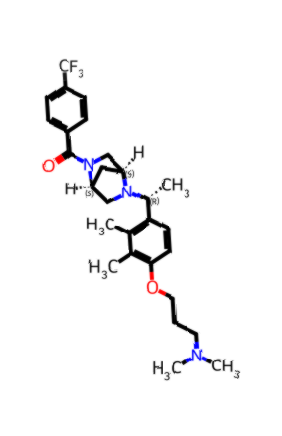 Cc1c(OCCCN(C)C)ccc([C@@H](C)N2C[C@@H]3C[C@H]2CN3C(=O)c2ccc(C(F)(F)F)cc2)c1C